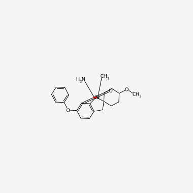 COC1CCC2(CC1)Cc1ccc(Oc3ccccc3)cc1C21N=C(N)N(C)C1=O